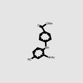 COC(=O)c1ccc(Nc2ccc(C#N)cc2NC(C)=O)cc1